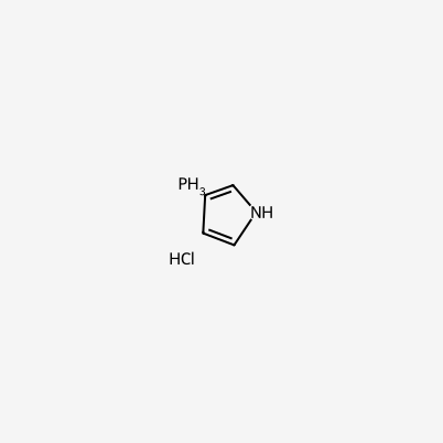 Cl.P.c1cc[nH]c1